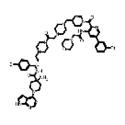 CCc1cccc(-c2cnc(C(=O)N3CCC(CN4CCN(CC(=O)N5CCN(CC[C@H](NC(=O)C6(N)CCN(c7ncnc8[nH]ccc78)CC6)c6ccc(Cl)cc6)CC5)CC4)CC3)c(NC(=O)CN3CCOCC3)c2)c1